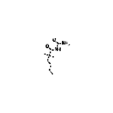 CCCCC(C)(C)C(=O)NC(N)=O